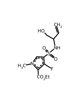 C=CC(CO)NS(=O)(=O)c1cn(C)c(C(=O)OCC)c1F